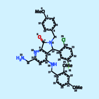 COc1ccc(CN2C(=O)c3nc(CN)cc(NCc4ccc(OC)cc4OC)c3C2c2cc(F)ccc2Cl)cc1